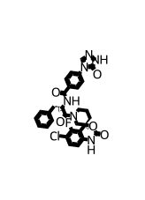 O=C1Nc2ccc(Cl)c(F)c2[C@@]2(CCCN(C(=O)[C@H](Cc3ccccc3)NC(=O)c3ccc(-n4cn[nH]c4=O)cc3)C2)O1